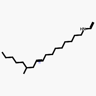 C=CNCCCCCCCC/C=C/CC(C)CCCCC